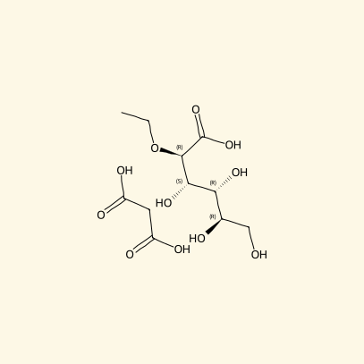 CCO[C@@H](C(=O)O)[C@@H](O)[C@H](O)[C@H](O)CO.O=C(O)CC(=O)O